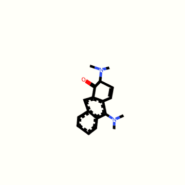 CN(C)c1c2c(cc3ccccc13)C(=O)C(N(C)C)C=C2